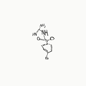 N=C(N)NS(=O)(=O)c1ccc(Br)cc1